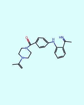 C=C(C)N1CCN(C(=O)c2ccc(Nc3ccccc3C(C)=N)cc2)CC1